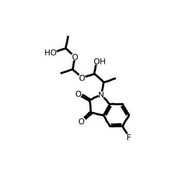 CC(O)OC(C)OC(O)C(C)N1C(=O)C(=O)c2cc(F)ccc21